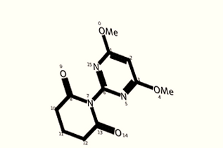 COc1cc(OC)nc(N2C(=O)CCCC2=O)n1